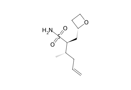 C=CC[C@H](C)[C@H](C[C@@H]1CCO1)S(N)(=O)=O